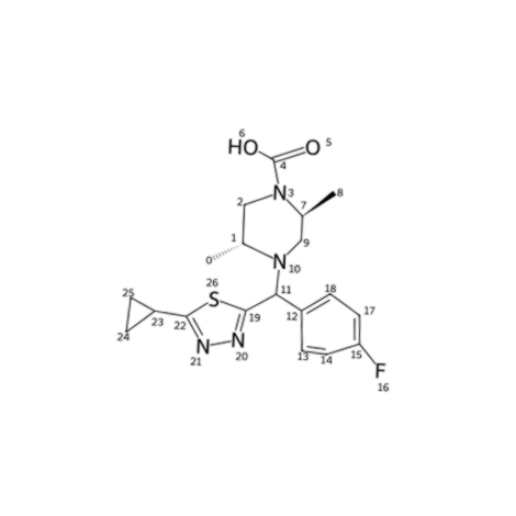 C[C@@H]1CN(C(=O)O)[C@@H](C)CN1C(c1ccc(F)cc1)c1nnc(C2CC2)s1